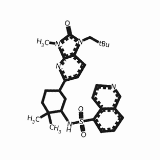 Cn1c(=O)n(CC(C)(C)C)c2ccc(C3CCC(C)(C)C(NS(=O)(=O)c4cccc5cnccc45)C3)nc21